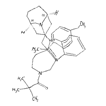 Cc1ccc(C2(CCN3[C@@H]4CC[C@H]3CC(n3c(C)nc5ccccc53)C4)CCN(C(=O)C(C)(C)C)CC2)cc1